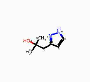 CC(C)(O)Cc1[c]c[nH]n1